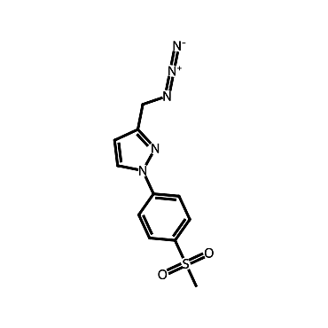 CS(=O)(=O)c1ccc(-n2ccc(CN=[N+]=[N-])n2)cc1